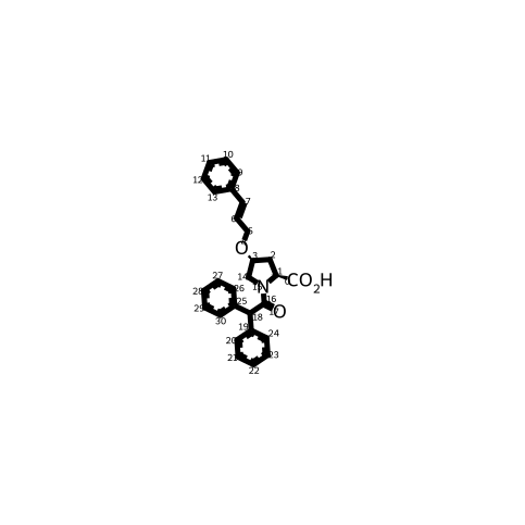 O=C(O)[C@@H]1C[C@@H](OCC=Cc2ccccc2)CN1C(=O)C(c1ccccc1)c1ccccc1